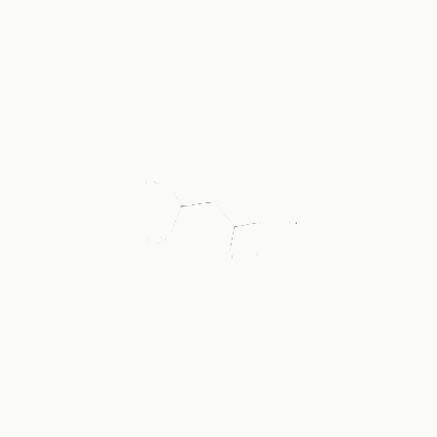 CCCCCCCCC(CCCC)CC(CCCCCC)CCCCCCCC